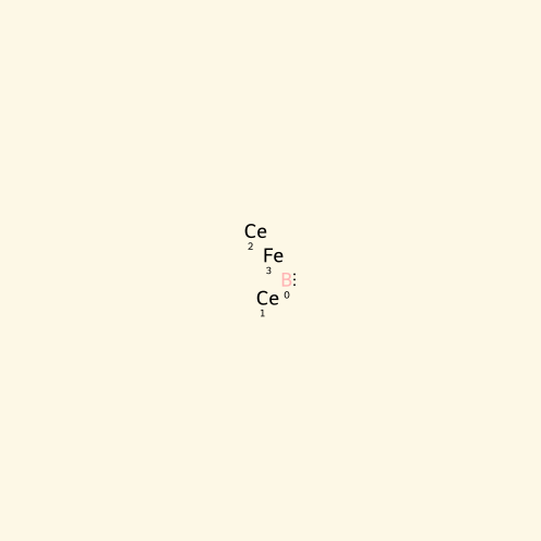 [B].[Ce].[Ce].[Fe]